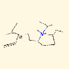 C=C[C@@H](CCC1CCC(CC)[N+]1(C)C(C)C)C(C)C